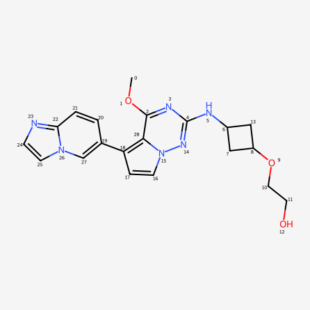 COc1nc(NC2CC(OCCO)C2)nn2ccc(-c3ccc4nccn4c3)c12